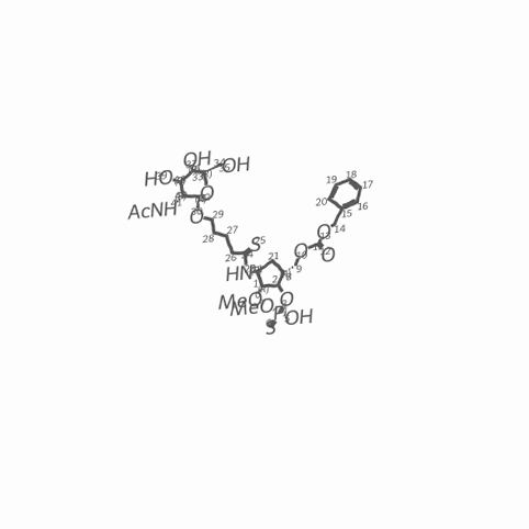 CO[C@H]1C(OP(O)(=S)OC)[C@@H](COC(=O)OCc2ccccc2)C[C@H]1NC(=S)CCCCO[C@@H]1O[C@H](CO)[C@H](O)[C@H](O)[C@H]1NC(C)=O